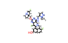 CCc1c(F)ccc2cc(O)cc(-c3ncc4c(NCc5ccnn5C)nc(OC[C@@]56CCCN5C[C@H](F)C6)nc4c3F)c12